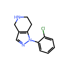 Clc1ccccc1-n1ncc2c1CCNC2